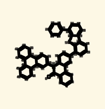 O=c1c2ccccc2c2cc(-c3cccc4c3sc3c(-c5ccccc5)cccc34)ccc2n1-c1ccc2c3ccccc3c3ccccc3c2c1